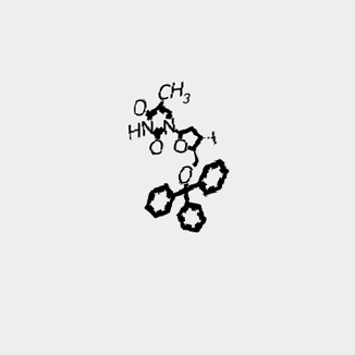 Cc1cn([C@H]2C[C@H](I)[C@@H](COC(c3ccccc3)(c3ccccc3)c3ccccc3)O2)c(=O)[nH]c1=O